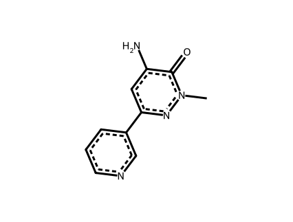 Cn1nc(-c2cccnc2)cc(N)c1=O